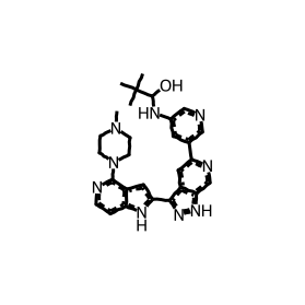 CN1CCN(c2nccc3[nH]c(-c4n[nH]c5cnc(-c6cncc(NC(O)C(C)(C)C)c6)cc45)cc23)CC1